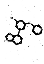 Oc1cc(Oc2cccnc2)cc(-c2cccc3[nH]ccc23)c1